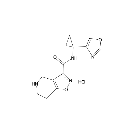 Cl.O=C(NC1(c2cocn2)CC1)c1noc2c1CNCC2